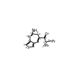 CCCN(CCC)C(=O)C1=Cc2cscc2N=C(N)C1